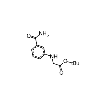 CC(C)(C)OC(=O)CNc1cccc(C(N)=O)c1